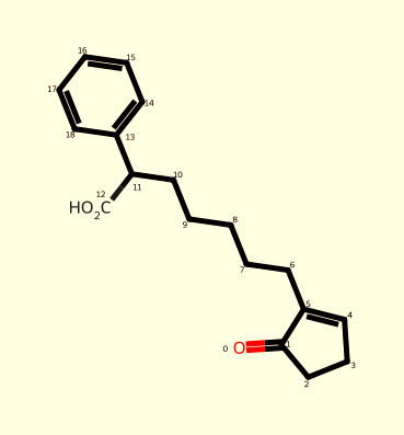 O=C1CCC=C1CCCCCC(C(=O)O)c1ccccc1